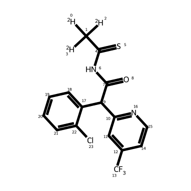 [2H]C([2H])([2H])C(=S)NC(=O)C(c1cc(C(F)(F)F)ccn1)c1ccccc1Cl